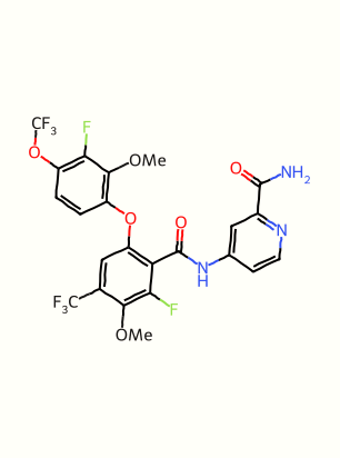 COc1c(Oc2cc(C(F)(F)F)c(OC)c(F)c2C(=O)Nc2ccnc(C(N)=O)c2)ccc(OC(F)(F)F)c1F